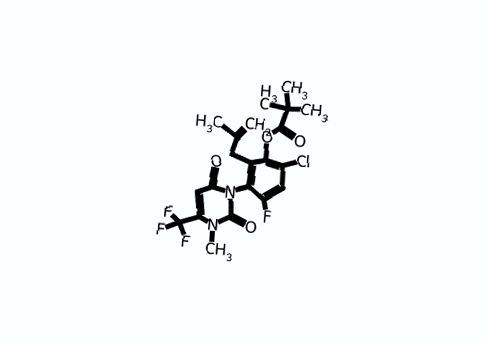 C=C(C)Cc1c(OC(=O)C(C)(C)C)c(Cl)cc(F)c1-n1c(=O)cc(C(F)(F)F)n(C)c1=O